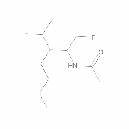 CCCCC(C(C)C)C(CF)NC(C)=O